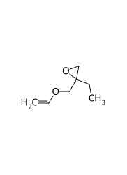 C=COCC1(CC)CO1